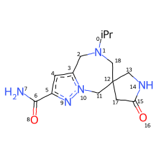 CC(C)N1Cc2cc(C(N)=O)nn2CC2(CNC(=O)C2)C1